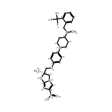 CN(Cc1ccccc1C(F)(F)F)C1CCN(c2ccc(OC[C@@]3(C)Cn4cc([N+](=O)[O-])nc4O3)cc2)CC1